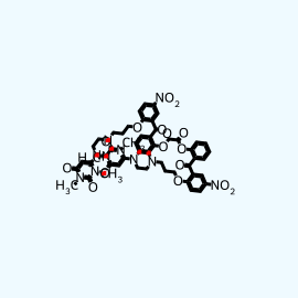 Cn1c(N2CCN(CCCOc3ccc([N+](=O)[O-])cc3C(=O)c3ccccc3OC(=O)C(=O)Oc3ccccc3C(=O)c3cc([N+](=O)[O-])ccc3OCCCN3CCN(c4cc(=O)n(C)c(=O)n4C)CC3)CC2)cc(=O)n(C)c1=O